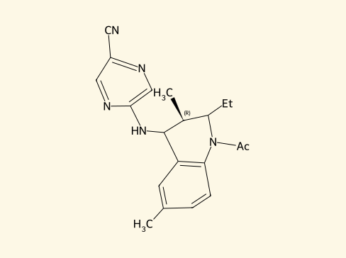 CCC1[C@H](C)C(Nc2cnc(C#N)cn2)c2cc(C)ccc2N1C(C)=O